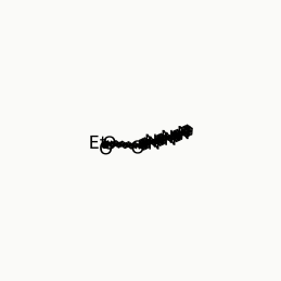 CCC(=O)OCCCCCCCCOc1ccc(N=Nc2ccc(N=Nc3ccc(N4CCCCC4)cc3)cc2)cc1